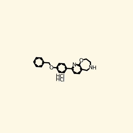 Cl.Cl.c1ccc(COc2ccc(-c3ccc4c(n3)OCCNC4)cc2)cc1